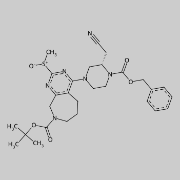 C[S+]([O-])c1nc2c(c(N3CCN(C(=O)OCc4ccccc4)[C@@H](CC#N)C3)n1)CCCN(C(=O)OC(C)(C)C)C2